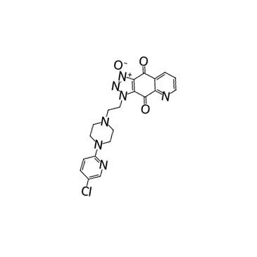 O=C1c2ncccc2C(=O)c2c1n(CCN1CCN(c3ccc(Cl)cn3)CC1)n[n+]2[O-]